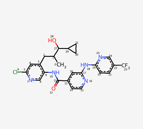 CC(Cc1cc(Cl)ncc1NC(=O)c1ccnc(Nc2ccc(C(F)(F)F)cn2)c1)C(O)C1CC1